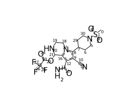 CS(=O)(=O)N1CCC(c2c(C#N)c(C(N)=O)c3n2CCNC3OC(=O)C(F)(F)F)CC1